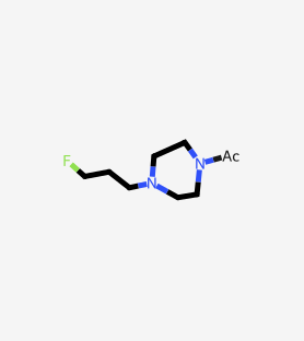 [CH2]C(=O)N1CCN(CCCF)CC1